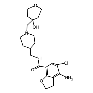 Nc1c(Cl)cc(C(=O)NCC2CCN(CC3(O)CCOCC3)CC2)c2c1CCO2